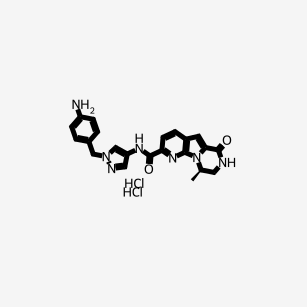 C[C@@H]1CNC(=O)c2cc3ccc(C(=O)Nc4cnn(Cc5ccc(N)cc5)c4)nc3n21.Cl.Cl